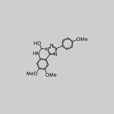 COc1ccc(-c2nc3n(n2)C(O)Nc2cc(OC)c(OC)cc2-3)cc1